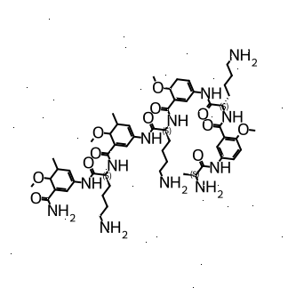 COc1ccc(NC(=O)[C@H](C)N)cc1C(=O)N[C@@H](CCCCN)C(=O)NC1=CCC(OC)C(C(=O)N[C@@H](CCCCN)C(=O)NC2=CC(C)C(OC)C(C(=O)N[C@@H](CCCCN)C(=O)NC3=CC(C)C(OC)C(C(N)=O)=C3)=C2)=C1